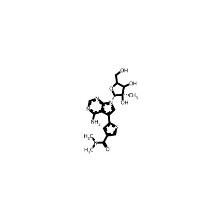 CN(C)C(=O)c1csc(-c2cn([C@@H]3OC(CO)C(O)[C@@]3(C)O)c3ncnc(N)c23)c1